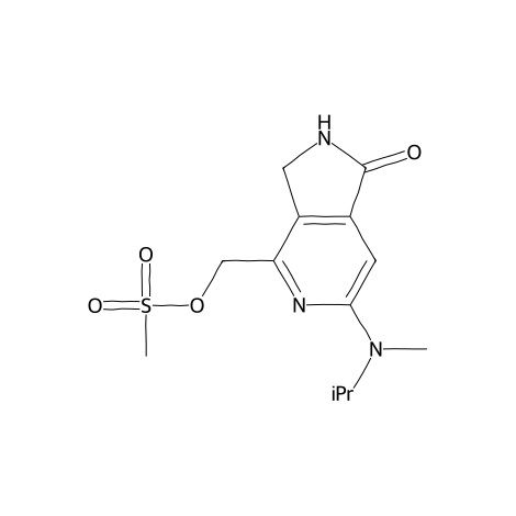 CC(C)N(C)c1cc2c(c(COS(C)(=O)=O)n1)CNC2=O